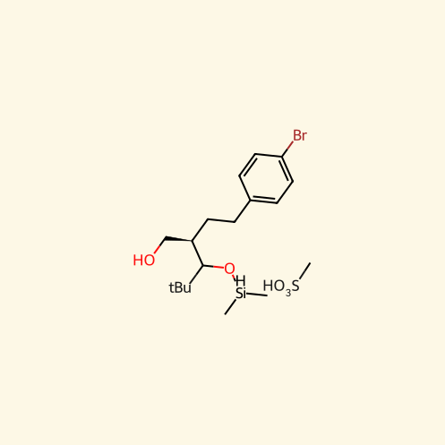 CS(=O)(=O)O.C[SiH](C)OC([C@@H](CO)CCc1ccc(Br)cc1)C(C)(C)C